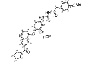 COc1ccc(CC(=O)NC(=S)Nc2ccc(Oc3ccnc4cc(C(=O)N5CCCC5)sc34)c(F)c2)cc1OC.Cl